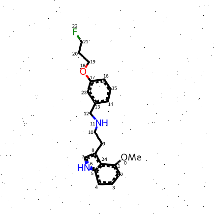 COc1cccc2[nH]cc(CCNCc3cccc(OCCCF)c3)c12